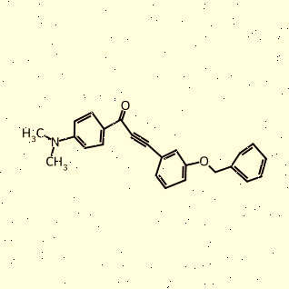 CN(C)c1ccc(C(=O)C#Cc2cccc(OCc3ccccc3)c2)cc1